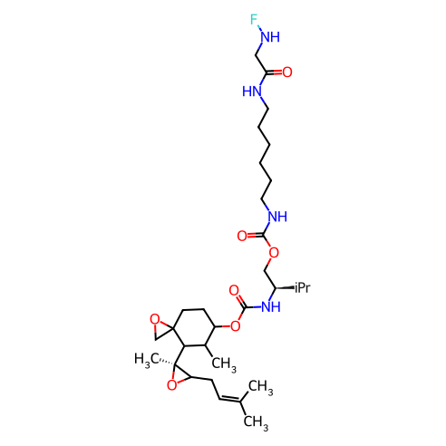 CC(C)=CCC1O[C@@]1(C)C1C(C)C(OC(=O)N[C@@H](COC(=O)NCCCCCCNC(=O)CNF)C(C)C)CCC12CO2